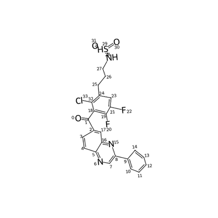 O=C(c1ccc2ncc(-c3ccccc3)nc2c1)c1c(F)c(F)cc(CCCN[SH](=O)=O)c1Cl